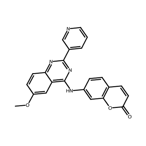 COc1ccc2nc(-c3cccnc3)nc(Nc3ccc4ccc(=O)oc4c3)c2c1